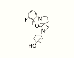 O=C1N([C@H]2CC[C@H](O)CC2)CC[C@@]12CCCN(c1cccc(F)c1F)C2